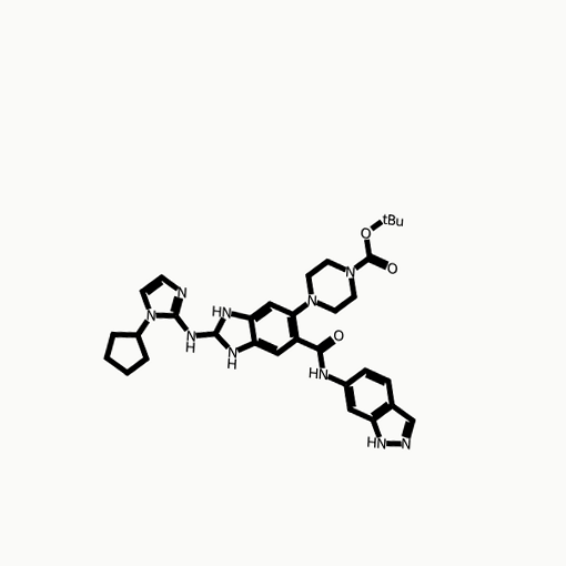 CC(C)(C)OC(=O)N1CCN(c2cc3c(cc2C(=O)Nc2ccc4cn[nH]c4c2)NC(Nc2nccn2C2CCCC2)N3)CC1